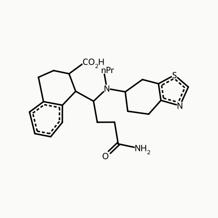 CCCN(C1CCc2ncsc2C1)C(CCC(N)=O)C1c2ccccc2CCC1C(=O)O